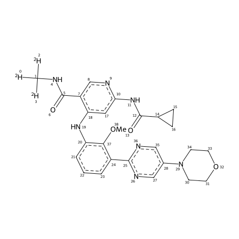 [2H]C([2H])([2H])NC(=O)c1cnc(NC(=O)C2CC2)cc1Nc1cccc(-c2ncc(N3CCOCC3)cn2)c1OC